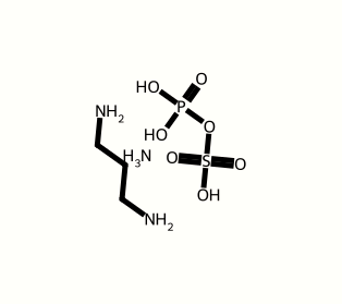 N.NCCCN.O=P(O)(O)OS(=O)(=O)O